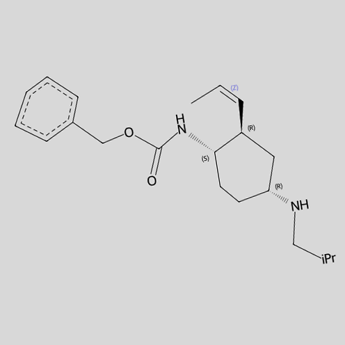 C/C=C\[C@H]1C[C@H](NCC(C)C)CC[C@@H]1NC(=O)OCc1ccccc1